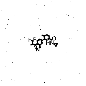 Cc1ccc(C(=O)NC2CC2)cc1-c1ccc2c(C(C)C(F)F)nncc2c1